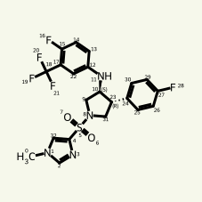 Cn1cnc(S(=O)(=O)N2C[C@@H](Nc3ccc(F)c(C(F)(F)F)c3)[C@H](c3ccc(F)cc3)C2)c1